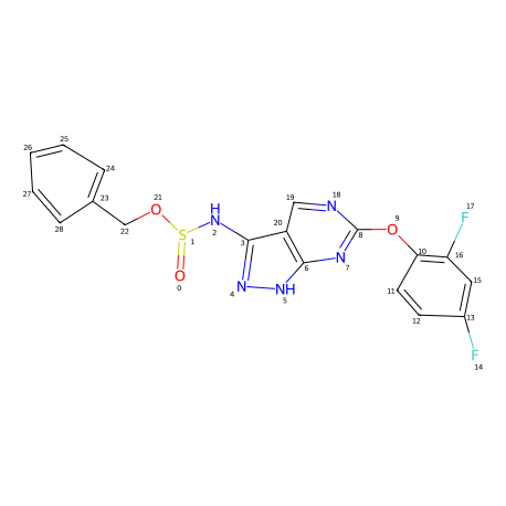 O=S(Nc1n[nH]c2nc(Oc3ccc(F)cc3F)ncc12)OCc1ccccc1